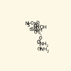 Cc1ncsc1-c1ccc(CNC(=O)[C@@H]2C[C@@H](O)CN2C(=O)[C@@H](NC(=O)C2CC(Cc3ccc(CO[C@H](C)[C@@H](N)CCC(N)=O)cc3)C2)C(C)(C)C)cc1